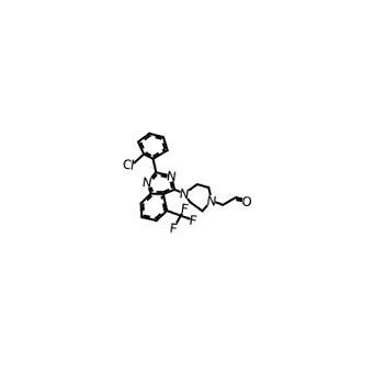 O=CCN1CCN(c2nc(-c3ccccc3Cl)nc3cccc(C(F)(F)F)c23)CC1